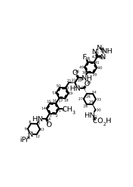 Cc1cc(C(=O)NC2CCN(C(C)C)CC2)ccc1-c1ccc(C[C@H](NC(=O)[C@H]2CC[C@H](CNC(=O)O)CC2)C(=O)Nc2ccc(-c3nn[nH]n3)c(F)c2)cc1